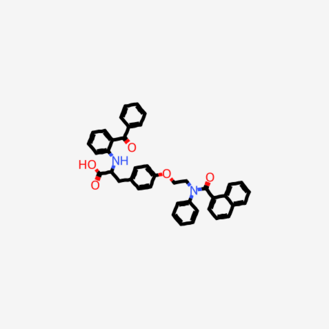 O=C(c1ccccc1)c1ccccc1NC(Cc1ccc(OCCN(C(=O)c2cccc3ccccc23)c2ccccc2)cc1)C(=O)O